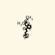 CCOC(=O)C(C)Cc1ccccc1C(=O)CCC1OCCO1